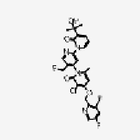 Cc1cc(OCc2ncc(F)cc2F)c(Cl)c(=O)n1-c1cc(-n2cccc(C(C)(C)O)c2=O)ncc1CF